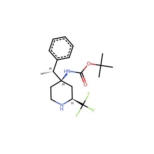 C[C@H](c1ccccc1)[C@@]1(NC(=O)OC(C)(C)C)CCN[C@H](C(F)(F)F)C1